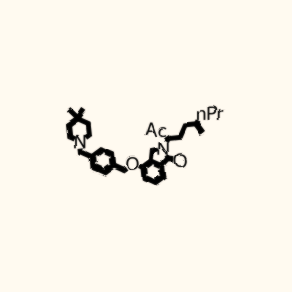 C=C(CCC)CCC(C(C)=O)N1Cc2c(OCc3ccc(CN4CCC(C)(C)CC4)cc3)cccc2C1=O